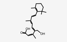 CC(C=CC1=C(C)CCCC1(C)C)=CC=C(CO)/C(C)=C\C(=O)O